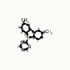 Cc1ccc2c(c1)c1cc(C)ccc1n2-c1ncncn1